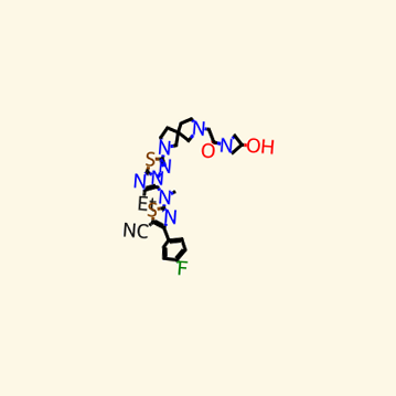 CCc1nc2sc(N3CCC4(CCN(CC(=O)N5CC(O)C5)C4)C3)nn2c1N(C)c1nc(-c2ccc(F)cc2)c(C#N)s1